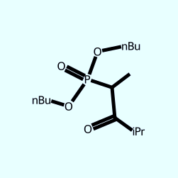 CCCCOP(=O)(OCCCC)C(C)C(=O)C(C)C